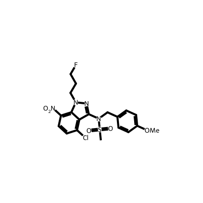 COc1ccc(CN(c2nn(CCCF)c3c([N+](=O)[O-])ccc(Cl)c23)S(C)(=O)=O)cc1